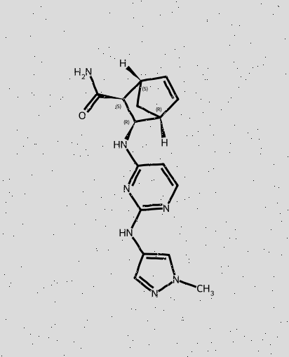 Cn1cc(Nc2nccc(N[C@H]3[C@@H](C(N)=O)[C@@H]4C=C[C@H]3C4)n2)cn1